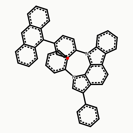 c1ccc(-c2cn(-c3ccccc3)c3c2ccc2c4ccccc4n(-c4ccc(-c5c6ccccc6cc6ccccc56)cc4)c23)cc1